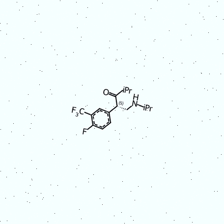 CC(C)NC[C@@H](C(=O)C(C)C)c1ccc(F)c(C(F)(F)F)c1